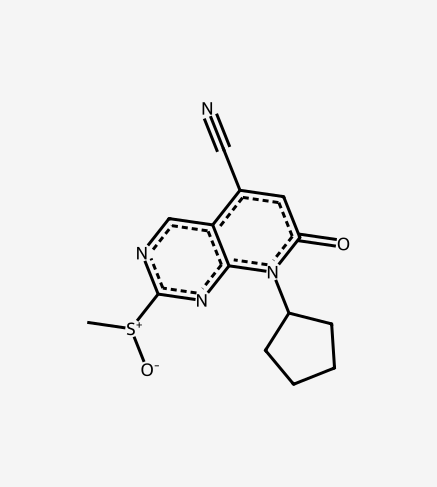 C[S+]([O-])c1ncc2c(C#N)cc(=O)n(C3CCCC3)c2n1